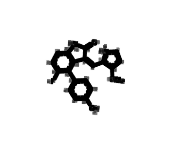 COc1cc[nH]c1C=C1C(=O)Nc2ccc(F)c(-c3ccc(O)cc3)c21